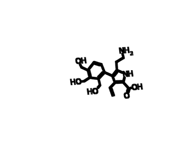 C=Cc1c(C(=O)O)[nH]c(CCN)c1-c1ccc(CO)c(CO)c1CO